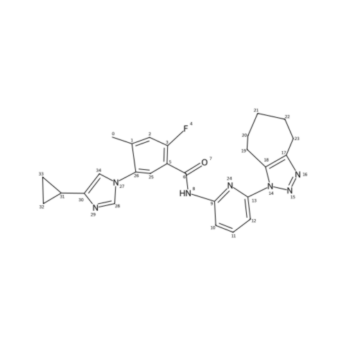 Cc1cc(F)c(C(=O)Nc2cccc(-n3nnc4c3CCCCC4)n2)cc1-n1cnc(C2CC2)c1